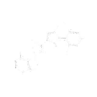 Cn1cc(C(=O)NS(=O)(=O)c2c(F)cccc2Cl)nc1-c1c(F)cccc1F